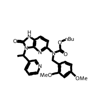 CCCCOC(=O)N(Cc1ccc(OC)cc1OC)c1ccc2[nH]c(=O)n(C(C)c3cccnc3)c2n1